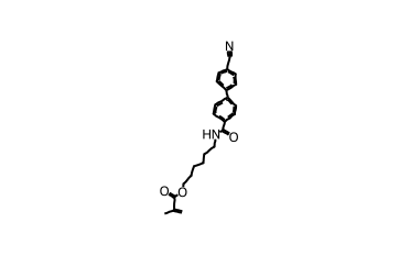 C=C(C)C(=O)OCCCCCCNC(=O)c1ccc(-c2ccc(C#N)cc2)cc1